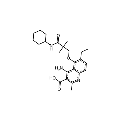 CCc1ccc2nc(C)c(C(=O)O)c(N)c2c1OCC(C)(C)C(=O)NC1CCCCC1